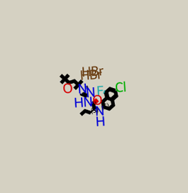 Br.Br.CCC[C@H](N[C@H]1CCc2cc(Cl)cc(F)c2C1)C(=O)Nc1cn(C(C)(C)CC(=O)C(C)(C)C)cn1